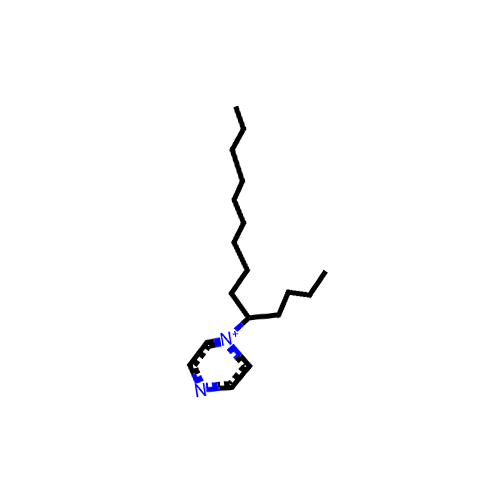 CCCCCCCCCC(CCCC)[n+]1ccncc1